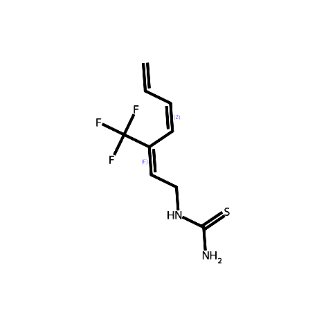 C=C/C=C\C(=C/CNC(N)=S)C(F)(F)F